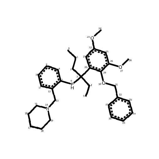 CCCC(CC)(Pc1ccccc1CN1CCCCC1)c1cc(OC)cc(OC)c1OCc1ccccc1